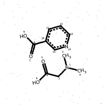 CN(C)CC(=O)O.O=C(O)c1cccnc1